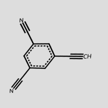 C#Cc1cc(C#N)cc(C#N)c1